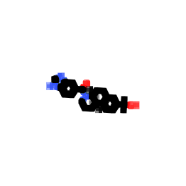 CC(C)(O)c1ccc2c(c1)CC[C@@H]1[C@H]2CCCN1C(=O)c1ccc2[nH]cnc2c1